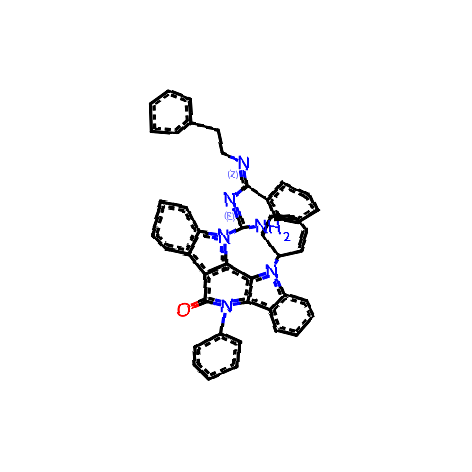 N/C(=N\C(=N/CCc1ccccc1)c1ccccc1)n1c2ccccc2c2c(=O)n(-c3ccccc3)c3c4ccccc4n(C4C=CC=CC4)c3c21